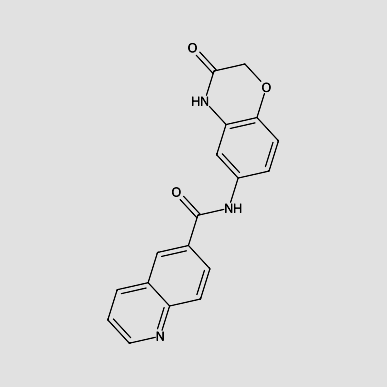 O=C1COc2ccc(NC(=O)c3ccc4ncccc4c3)cc2N1